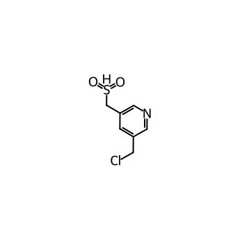 O=[SH](=O)Cc1cncc(CCl)c1